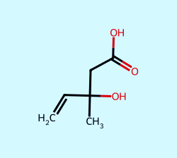 C=CC(C)(O)CC(=O)O